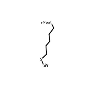 [CH2]CCCCCCCCCSCCC